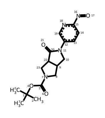 CC(C)(C)OC(=O)N1CC2CN(c3ccc(N=O)nc3)C(=O)C2C1